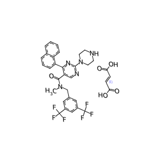 CN(Cc1cc(C(F)(F)F)cc(C(F)(F)F)c1)C(=O)c1cnc(N2CCNCC2)nc1-c1cccc2ccccc12.O=C(O)/C=C/C(=O)O